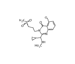 CS(=O)(=O)CCCn1c(C(NC(=O)O)C2CC2)nc2cccc(Cl)c2c1=O